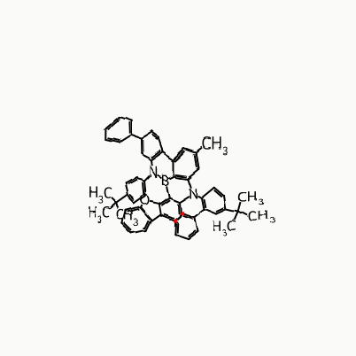 Cc1cc2c3c(c1)N(c1ccc(C(C)(C)C)cc1-c1ccccc1)c1ccc4c(oc5ccccc54)c1B3N(c1ccc(C(C)(C)C)cc1)c1cc(-c3ccccc3)ccc1-2